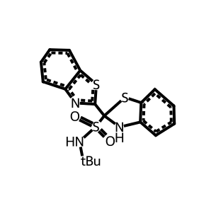 CC(C)(C)NS(=O)(=O)C1(c2nc3ccccc3s2)Nc2ccccc2S1